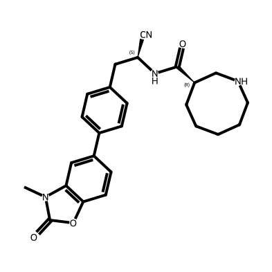 Cn1c(=O)oc2ccc(-c3ccc(C[C@@H](C#N)NC(=O)[C@@H]4CCCCCNC4)cc3)cc21